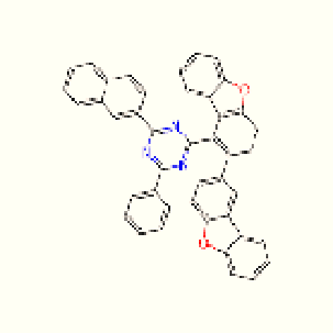 c1ccc(-c2nc(C3=C(c4ccc5oc6ccccc6c5c4)CCc4oc5ccccc5c43)nc(-c3ccc4ccccc4c3)n2)cc1